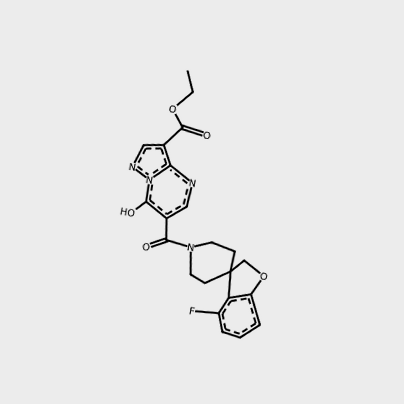 CCOC(=O)c1cnn2c(O)c(C(=O)N3CCC4(CC3)COc3cccc(F)c34)cnc12